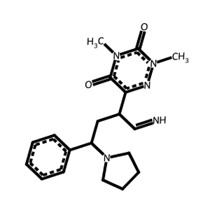 Cn1nc(C(C=N)CC(c2ccccc2)N2CCCC2)c(=O)n(C)c1=O